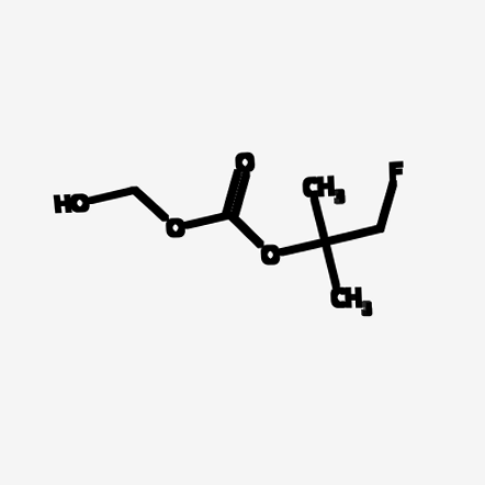 CC(C)(CF)OC(=O)OCO